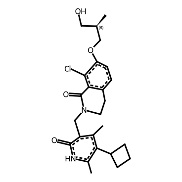 Cc1[nH]c(=O)c(CN2CCc3ccc(OC[C@H](C)CO)c(Cl)c3C2=O)c(C)c1C1CCC1